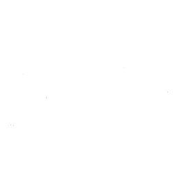 CCCCCCCCCCCCS(=O)(=O)CCCCCS(=O)(=O)CCCCCCCCCCCC